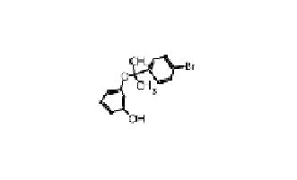 CC(C)(Oc1cccc(O)c1)c1ccc(Br)cc1